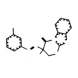 CC1(N=Nc2cccc(Br)c2)CSc2nc3ccccc3n2C1=O